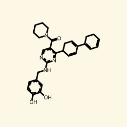 O=C(c1cnc(NCc2ccc(O)c(O)c2)nc1C1C=CC(C2=CC=CCC2)=CC1)N1CCCCC1